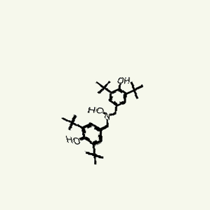 CC(C)(C)c1cc(CN(O)Cc2cc(C(C)(C)C)c(O)c(C(C)(C)C)c2)cc(C(C)(C)C)c1O